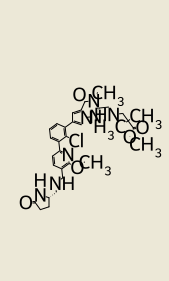 COC(=O)C(C)(C)CNCc1nn2cc(-c3cccc(-c4ccc(CNC[C@@H]5CCC(=O)N5)c(OC)n4)c3Cl)cc2c(=O)n1C